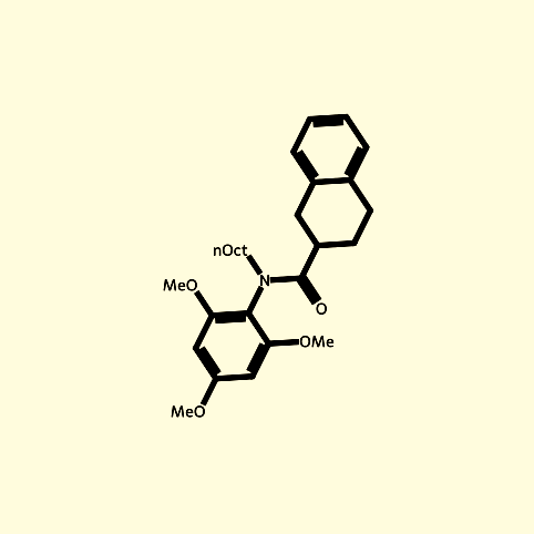 CCCCCCCCN(C(=O)C1CCc2ccccc2C1)c1c(OC)cc(OC)cc1OC